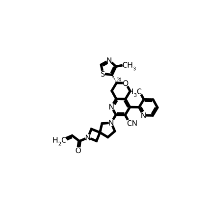 C=CC(=O)N1CC2(CCN(c3nc4c(c(-c5ncccc5C)c3C#N)CO[C@@H](c3scnc3C)C4)C2)C1